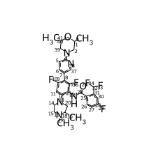 CC1CN(c2ccc(-c3c(F)cc(N4CCN(C)C(C)C4)c(NC(=O)c4ccc(F)cc4C(F)F)c3F)cn2)CC(C)O1